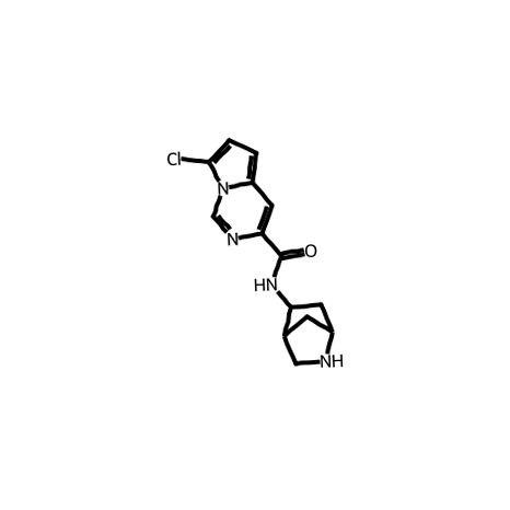 O=C(NC1CC2CC1CN2)c1cc2ccc(Cl)n2cn1